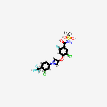 CS(=O)(=O)NC(=O)c1cc(Cl)c(OC2CN(c3ccc(C(F)(F)F)c(Cl)c3)C2)cc1F